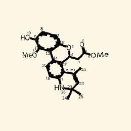 COC(=O)CC1Oc2ccc(O)c(OC)c2-c2ccc3c(c21)C(C)=CC(C)(C)N3